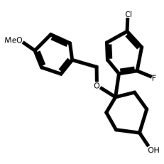 COc1ccc(COC2(c3ccc(Cl)cc3F)CC[C](O)CC2)cc1